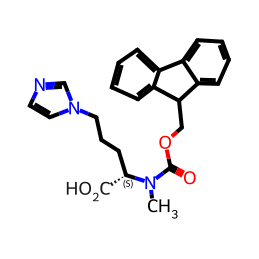 CN(C(=O)OCC1c2ccccc2-c2ccccc21)[C@@H](CCCn1ccnc1)C(=O)O